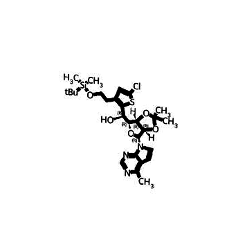 Cc1ncnc2c1ccn2[C@@H]1O[C@H]([C@@H](O)c2sc(Cl)cc2CCO[Si](C)(C)C(C)(C)C)[C@H]2OC(C)(C)O[C@H]21